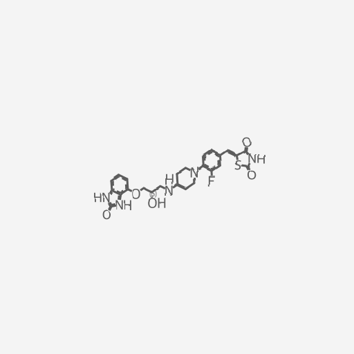 O=C1NC(=O)C(=Cc2ccc(N3CCC(NC[C@H](O)COc4cccc5[nH]c(=O)[nH]c45)CC3)c(F)c2)S1